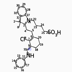 CC1(C)C(CCC2=C(Cl)/C(=C/Nc3ccccc3)CCC2)=[N+](CCCCS(=O)(=O)O)c2ccccc21